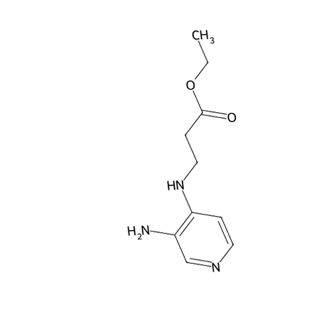 CCOC(=O)CCNc1ccncc1N